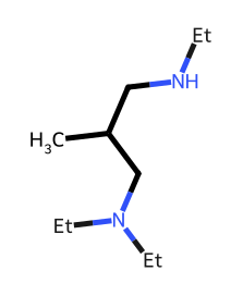 CCNCC(C)CN(CC)CC